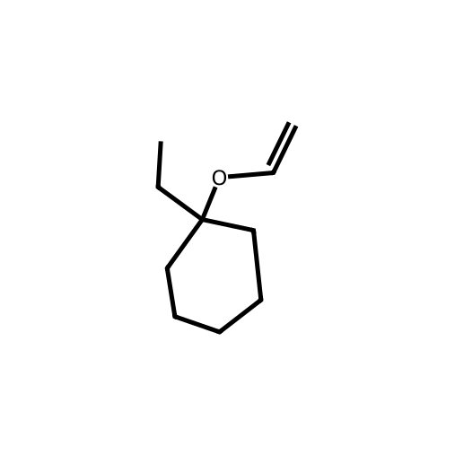 C=COC1(CC)CCCCC1